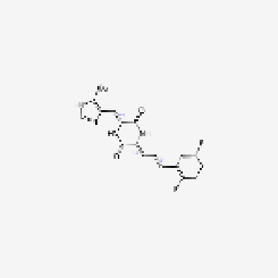 CC(C)(C)c1[nH]cnc1/C=c1\[nH]c(=O)/c(=C/C=C/C2=C(F)CCC(F)=C2)[nH]c1=O